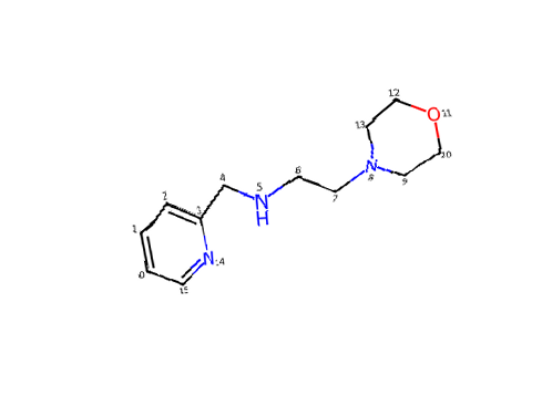 c1ccc(CNCCN2CCOCC2)nc1